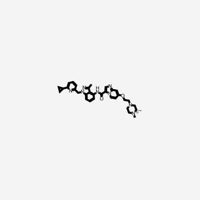 Cc1nn(Cc2cccc(C3CC3)n2)c2cccc(NC(=O)c3cnc4cc(OCCN5CCN(C)[C@@H](C)C5)ccn34)c12